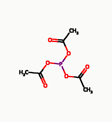 CC(=O)OP(OC(C)=O)OC(C)=O